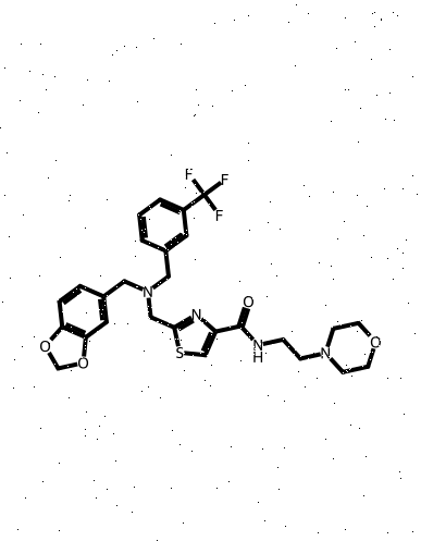 O=C(NCCN1CCOCC1)c1csc(CN(Cc2cccc(C(F)(F)F)c2)Cc2ccc3c(c2)OCO3)n1